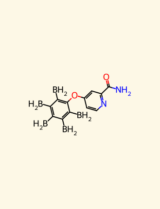 Bc1c(B)c(B)c(Oc2ccnc(C(N)=O)c2)c(B)c1B